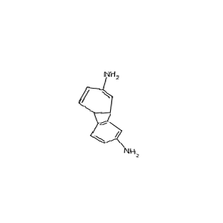 NC1=CC2c3cc(N)ccc3C2C=C1